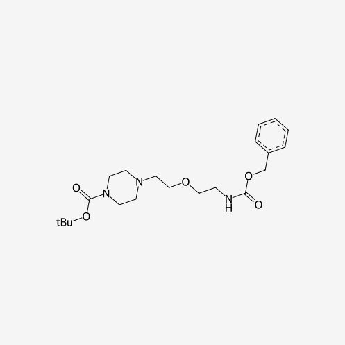 CC(C)(C)OC(=O)N1CCN(CCOCCNC(=O)OCc2ccccc2)CC1